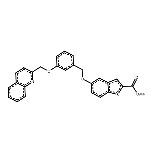 COC(=O)c1cc2cc(OCc3cccc(OCc4ccc5ccccc5n4)c3)ccc2s1